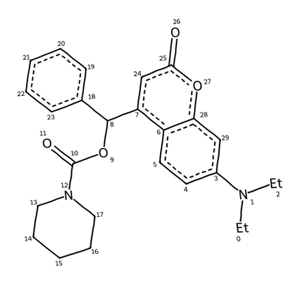 CCN(CC)c1ccc2c(C(OC(=O)N3CCCCC3)c3ccccc3)cc(=O)oc2c1